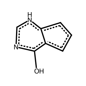 Oc1nc[nH]c2cccc1-2